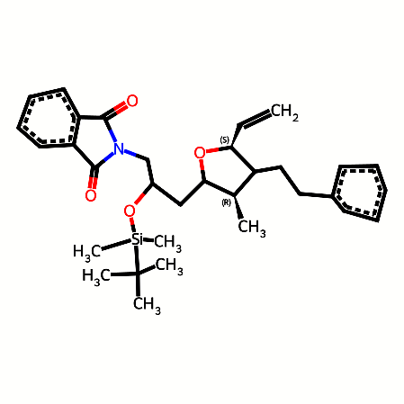 C=C[C@@H]1OC(CC(CN2C(=O)c3ccccc3C2=O)O[Si](C)(C)C(C)(C)C)[C@H](C)C1CCc1ccccc1